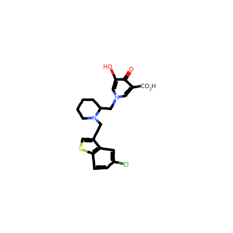 O=C(O)c1cn(CC2CCCCN2Cc2csc3ccc(Cl)cc23)cc(O)c1=O